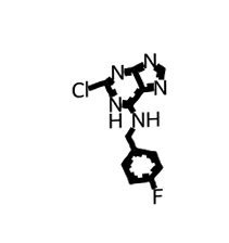 Fc1ccc(CNc2[nH]c(Cl)nc3ncnc2-3)cc1